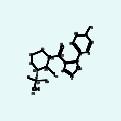 Cc1ccc(-c2oncc2C(=O)N2CCC[C@@H](C(C)(C)O)C2I)cc1